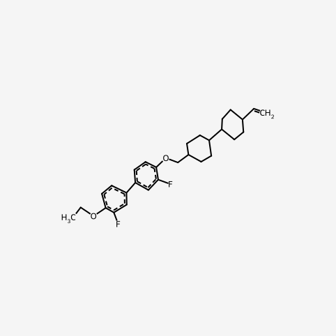 C=CC1CCC(C2CCC(COc3ccc(-c4ccc(OCC)c(F)c4)cc3F)CC2)CC1